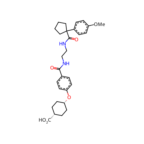 COc1ccc(C2(C(=O)NCCNC(=O)c3ccc(O[C@H]4CC[C@@H](C(=O)O)CC4)cc3)CCCC2)cc1